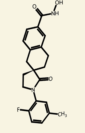 Cc1ccc(F)c(N2CC[C@@]3(CCc4cc(C(=O)NO)ccc4C3)C2=O)c1